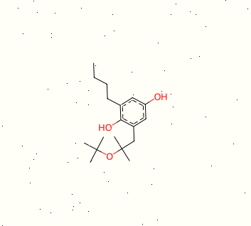 CCCCc1cc(O)cc(CC(C)(C)OC(C)(C)C)c1O